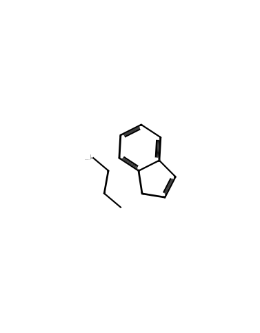 C1=Cc2ccccc2C1.[Li][CH2]CC